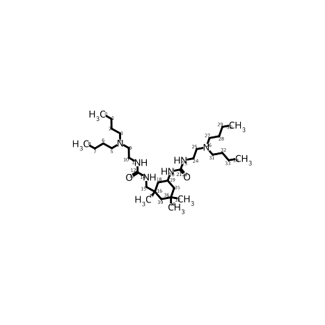 CCCCN(CCCC)CCNC(=O)NCC1(C)CC(NC(=O)NCCN(CCCC)CCCC)CC(C)(C)C1